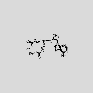 CC(C)OC(=O)OCOP(COC(C)Cn1cnc2c(N)ncnc21)OCOC(=O)OC(C)C